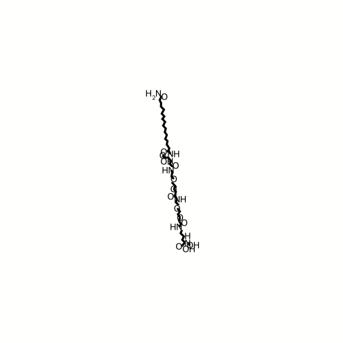 NC(=O)CCCCCCCCCCCCCCCCC(=O)NC(CCC(=O)NCCOCCOCC(=O)NCCOCCOCC(=O)NCCCCC(NO)C(=O)O)C(=O)O